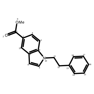 COC(=O)c1ccc2c(ccn2CCc2ccccc2)c1